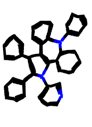 c1ccc(-c2c3c(n(-c4cccnc4)c2-c2ccccc2)-c2ccccc2N(c2ccccc2)c2ccccc2-3)cc1